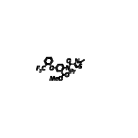 COC(=O)c1cc(Oc2ccccc2C(F)(F)F)ccc1N(C(=O)c1csc(C)n1)C(C)C